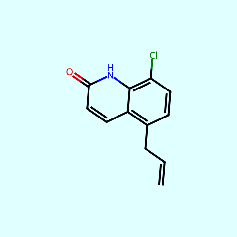 C=CCc1ccc(Cl)c2[nH]c(=O)ccc12